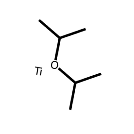 CC(C)OC(C)C.[Ti]